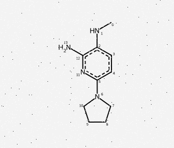 CNc1ccc(N2CCCC2)nc1N